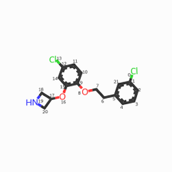 Clc1cccc(CCOc2ccc(Cl)cc2OC2CNC2)c1